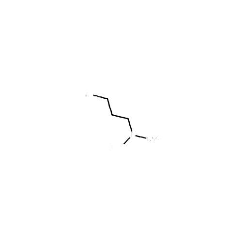 CCCCCCB(C)NC